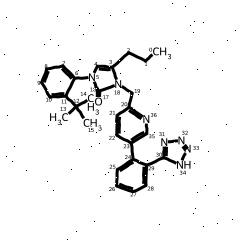 CCCc1cn(-c2ccccc2C(C)(C)C)c(=O)n1Cc1ccc(-c2ccccc2-c2nnn[nH]2)cn1